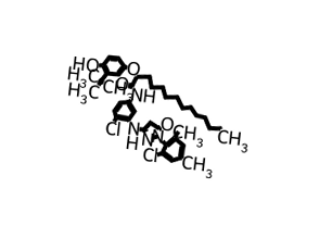 CCCCCCCCCCCCC(Oc1ccc(O)c(C(C)(C)C)c1)C(=O)Nc1ccc(Cl)c(NC2=NN(c3c(C)cc(C)cc3Cl)C(=O)C2)c1